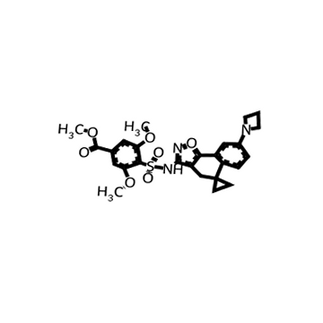 COC(=O)c1cc(OC)c(S(=O)(=O)Nc2noc3c2CC2(CC2)c2ccc(N4CCC4)cc2-3)c(OC)c1